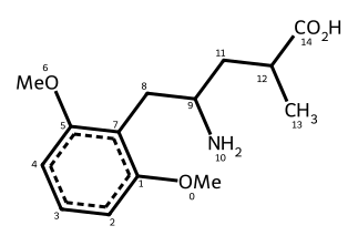 COc1cccc(OC)c1CC(N)CC(C)C(=O)O